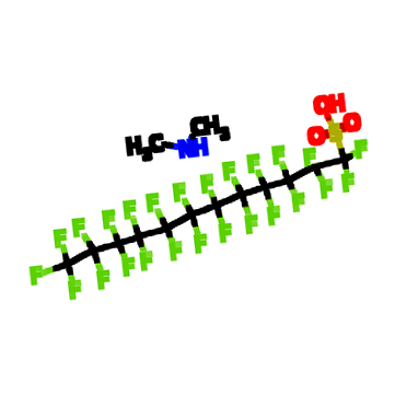 CNC.O=S(=O)(O)C(F)(F)C(F)(F)C(F)(F)C(F)(F)C(F)(F)C(F)(F)C(F)(F)C(F)(F)C(F)(F)C(F)(F)C(F)(F)C(F)(F)F